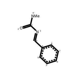 CNC(=O)N=Cc1ccccc1